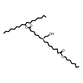 CCCCCCCCC(CCCCCCCC)OC(=O)CCCCCN(CCO)CCCCCCCC(=O)OCCCCCCC